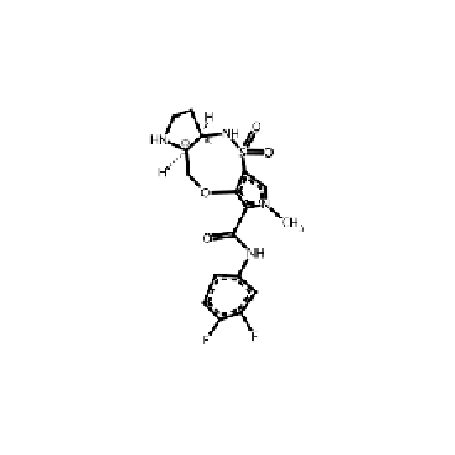 Cn1cc2c(c1C(=O)Nc1ccc(F)c(F)c1)OC[C@H]1NCC[C@H]1NS2(=O)=O